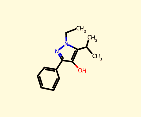 CCn1nc(-c2ccccc2)c(O)c1C(C)C